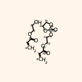 C=CC(=O)OCCO.C=CC(=O)OCCOP1(=O)OCCO1